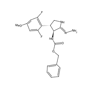 COc1cc(F)c([C@@H]2CN/C(=N\N)[C@H]2NC(=O)OCc2ccccc2)c(F)c1